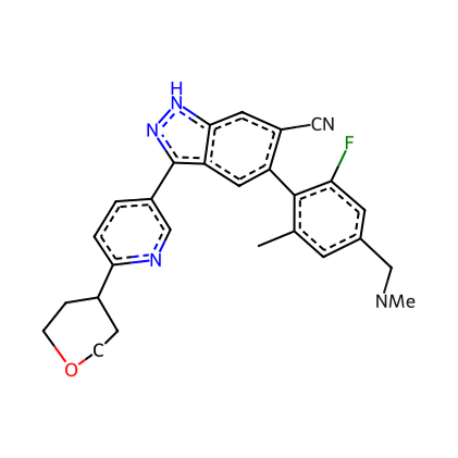 CNCc1cc(C)c(-c2cc3c(-c4ccc(C5CCOCC5)nc4)n[nH]c3cc2C#N)c(F)c1